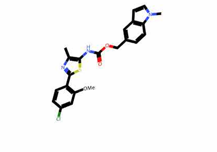 COc1cc(Cl)ccc1-c1nc(C)c(NC(=O)OCc2ccc3c(ccn3C)c2)s1